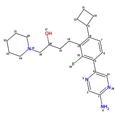 Nc1cnc(-c2ccc(C3CCC3)c(CCC(O)CN3CCCCC3)c2F)cn1